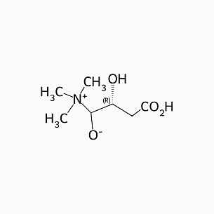 C[N+](C)(C)C([O-])[C@H](O)CC(=O)O